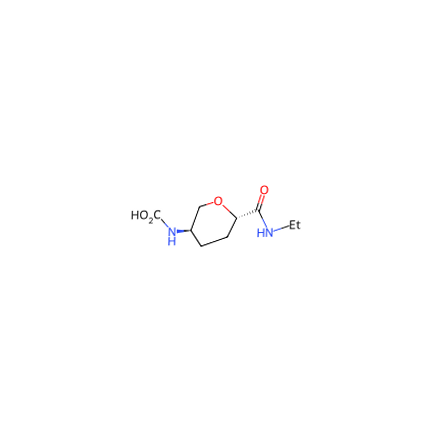 CCNC(=O)[C@@H]1CC[C@@H](NC(=O)O)CO1